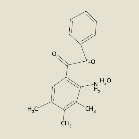 Cc1cc(C(=O)C(=O)c2ccccc2)c(N)c(C)c1C.O